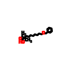 CC(C)(CCCCCCCCOCc1ccccc1)C(=O)O